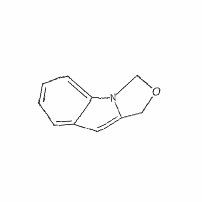 c1ccc2c(c1)cc1n2COC1